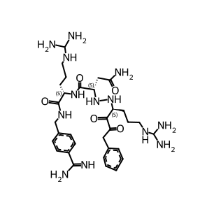 N=C(N)c1ccc(CNC(=O)[C@H](CCCNC(N)N)NC(=O)[C@H](CC(N)=O)NN[C@@H](CCCNC(N)N)C(=O)C(=O)Cc2ccccc2)cc1